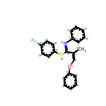 CC(=COc1ccccc1)C(=Nc1ccccc1)Sc1ccc(F)cc1